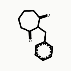 O=C1CCCCC(=O)C1Cc1ccccc1